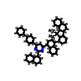 CC1(C)c2c(cccc2-c2ccc(-c3cc(-c4ccc(-c5ccccc5)cc4)nc(-c4cccc5ccccc45)n3)c3ccccc23)-c2ccc3ccccc3c21